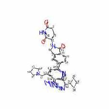 O=C1CCC(N2Cc3cc(-c4cc(CN5CCCC5)c5[nH]nc(C6CCC6)c5n4)ccc3C2=O)C(=O)N1